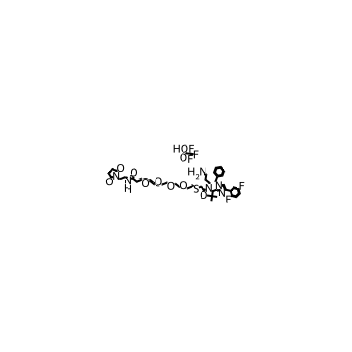 CC(C)(C)[C@H](c1nc(-c2cc(F)ccc2F)cn1Cc1ccccc1)N(CCCN)C(=O)CSCCOCCOCCOCCOCCC(=O)NCCN1C(=O)C=CC1=O.O=C(O)C(F)(F)F